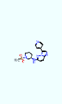 CS(=O)(=O)N1CCCC(Nc2ccc3ncc(-c4ccncc4)n3n2)C1